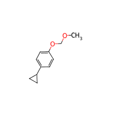 COCOc1ccc(C2CC2)cc1